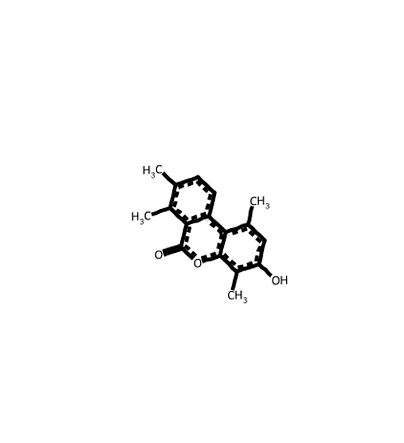 Cc1ccc2c(c1C)c(=O)oc1c(C)c(O)cc(C)c12